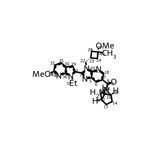 CCn1c(-c2nc3cc(C(=O)N4C[C@H]5CC[C@@H]4[C@@H]5N)cnc3n2C[C@H]2C[C@@](C)(OC)C2)cc2ccc(OC)nc21